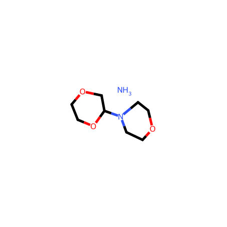 C1CN(C2COCCO2)CCO1.N